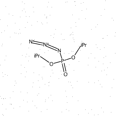 CC(C)OP(=O)(N=[N+]=[N-])OC(C)C